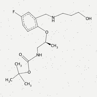 C[C@@H](CNC(=O)OC(C)(C)C)Oc1ccc(F)cc1CNCCCO